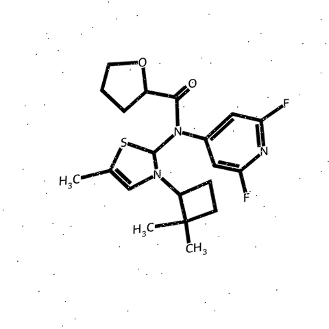 CC1=CN(C2CCC2(C)C)C(N(C(=O)C2CCCO2)c2cc(F)nc(F)c2)S1